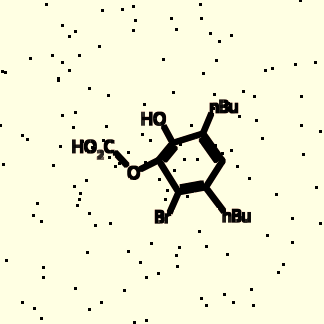 CCCCc1cc(CCCC)c(Br)c(OC(=O)O)c1O